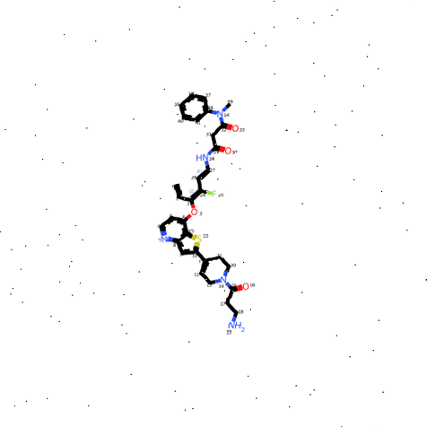 C=C/C(Oc1ccnc2cc(C3=CCN(C(=O)CCN)CC3)sc12)=C(F)\C=C\NC(=O)CC(=O)N(C)c1ccccc1